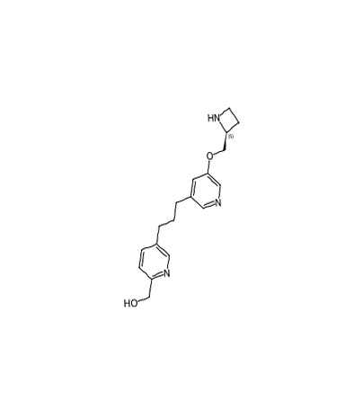 OCc1ccc(CCCc2cncc(OC[C@@H]3CCN3)c2)cn1